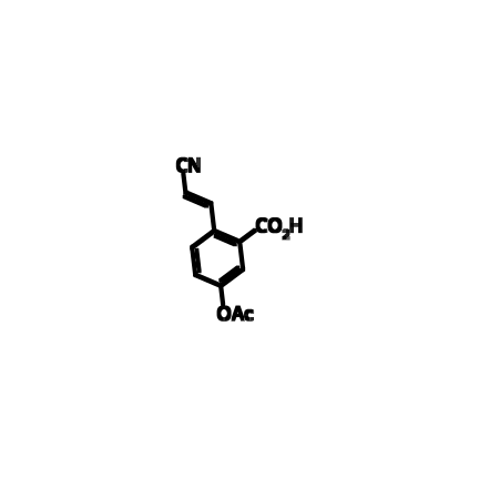 CC(=O)Oc1ccc(/C=C/C#N)c(C(=O)O)c1